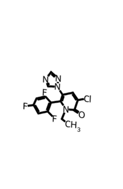 CCn1c(-c2c(F)cc(F)cc2F)c(-n2cncn2)cc(Cl)c1=O